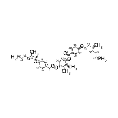 Cc1c(OOCc2ccc(OCC(C)CCCP)cc2)ccc(OC(=O)c2ccc(OCCC(C)CCCP)cc2)c1C